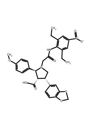 CCc1cc([N+](=O)[O-])cc(CC)c1NC(=O)CN1C[C@H](c2ccc3c(c2)OCO3)[C@H](C(=O)O)[C@H]1c1ccc(OC)cc1